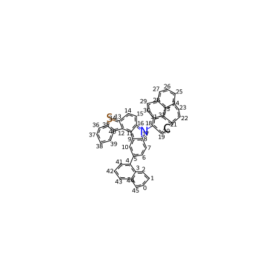 c1ccc2c(-c3ccc4c(c3)c3c5c(ccc3n4-c3ccc4ccc6cccc7ccc3c4c67)sc3ccccc35)cccc2c1